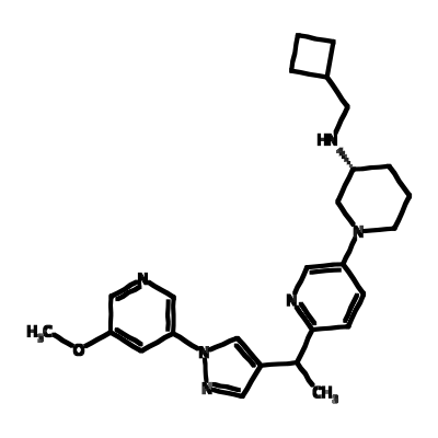 COc1cncc(-n2cc(C(C)c3ccc(N4CCC[C@@H](NCC5CCC5)C4)cn3)cn2)c1